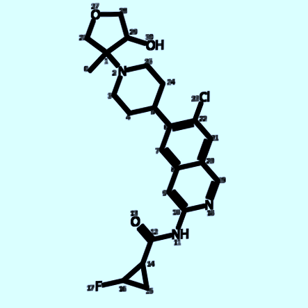 CC1(N2CCC(c3cc4cc(NC(=O)C5CC5F)ncc4cc3Cl)CC2)COCC1O